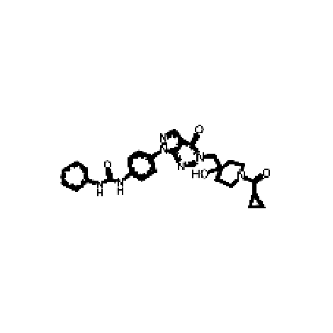 O=C(Nc1ccccc1)Nc1ccc(-n2ncc3c(=O)n(CC4(O)CCN(C(=O)C5CC5)CC4)cnc32)cc1